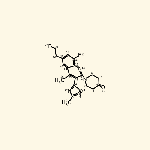 Cc1noc(-c2c(N3CCC(=O)CC3)nc3c(F)cc(CCF)cc3c2C)n1